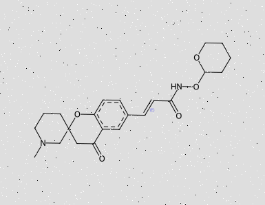 CN1CCCC2(CC(=O)c3cc(/C=C/C(=O)NOC4CCCCO4)ccc3O2)C1